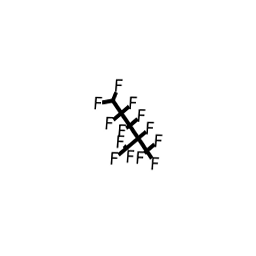 FC(F)C(F)(F)C(F)(F)C(F)(C(F)(F)F)C(F)(F)F